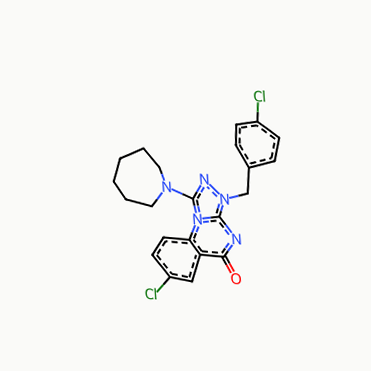 O=c1nc2n(Cc3ccc(Cl)cc3)nc(N3CCCCCC3)n2c2ccc(Cl)cc12